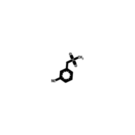 CS(=O)(=O)[CH]c1cccc(C#N)c1